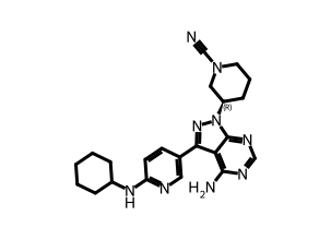 N#CN1CCC[C@@H](n2nc(-c3ccc(NC4CCCCC4)nc3)c3c(N)ncnc32)C1